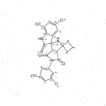 O=C1C2C(C(=O)N1c1cc(Cl)cc(Cl)c1)C1(NC23CCC3)C(=O)Nc2c(Cl)cc(Cl)cc21